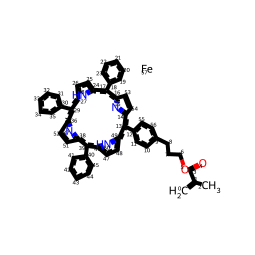 C=C(C)C(=O)OCCCc1ccc(-c2c3nc(c(-c4ccccc4)c4ccc([nH]4)c(-c4ccccc4)c4nc(c(-c5ccccc5)c5ccc2[nH]5)C=C4)C=C3)cc1.[Fe]